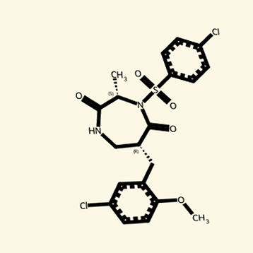 COc1ccc(Cl)cc1C[C@@H]1CNC(=O)[C@H](C)N(S(=O)(=O)c2ccc(Cl)cc2)C1=O